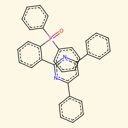 O=P(c1ccccc1)(c1ccccc1)c1ccccc1-c1nc(-c2ccccc2)cc(-c2ccccc2)n1